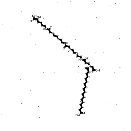 N[C@@H](CCCCNC(=O)COCCOCCNC(=O)COCCOCCNC(=O)CCN(CC(=O)O)C(=O)CCCCCCCCCCCCCCCCC(=O)O)C(=O)O